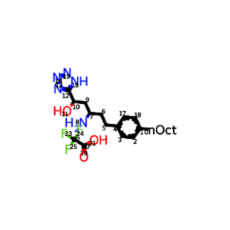 CCCCCCCCc1ccc(CCC(N)CC(O)c2nnn[nH]2)cc1.O=C(O)C(F)(F)F